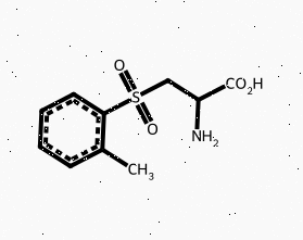 Cc1ccccc1S(=O)(=O)CC(N)C(=O)O